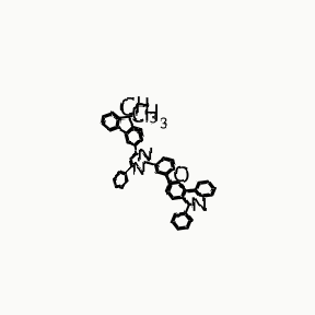 CC1(C)c2ccccc2-c2cc(-c3cc(-c4ccccc4)nc(-c4ccc5oc6c(ccc7c(-c8ccccc8)nc8ccccc8c76)c5c4)n3)ccc21